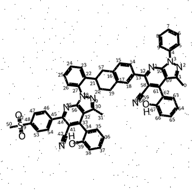 Cc1nn(-c2ccccc2)c2nc(-c3ccc4c(c3)CCC(c3ccccc3-n3nc(C)c5c(-c6ccccc6O)c(C#N)c(-c6ccc(S(C)(=O)=O)cc6)nc53)C4)c(C#N)c(-c3ccccc3O)c12